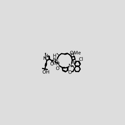 CO[C@H]1/C=C/C[C@H](C)C[S@@](=O)(NC(=O)c2cn(C)nc2C#CC(C)(C)O)=NC(=O)c2ccc3c(c2)N(C[C@@H]2CC[C@H]21)C[C@@]1(CCCc2cc(Cl)ccc21)CO3